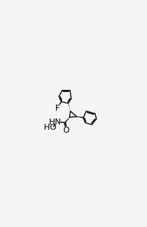 O=C(NO)[C@@H]1[C@H](c2ccccc2)[C@H]1c1ccccc1F